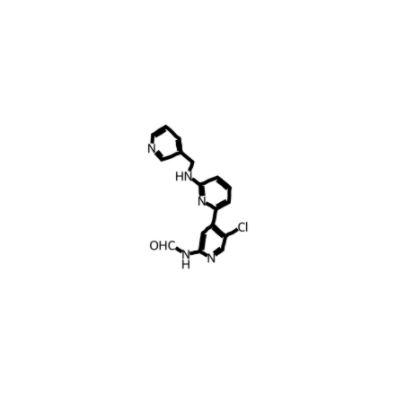 O=CNc1cc(-c2cccc(NCc3cccnc3)n2)c(Cl)cn1